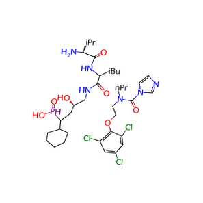 CCC(C)C(NC(=O)[C@@H](N)C(C)C)C(=O)NC[C@H](O)CC(C1CCCCC1)[PH](=O)O.CCCN(CCOc1c(Cl)cc(Cl)cc1Cl)C(=O)n1ccnc1